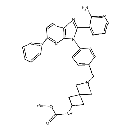 CC(C)(C)OC(=O)NC1CC2(C1)CN(Cc1ccc(-n3c(-c4cccnc4N)nc4ccc(-c5ccccc5)nc43)cc1)C2